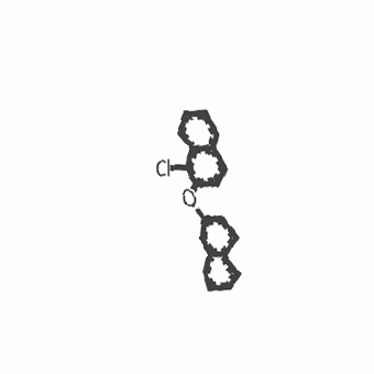 Clc1c(Oc2ccc3ccccc3c2)ccc2ccccc12